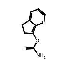 NC(=O)OC1=C2OC=CC=C2CC1